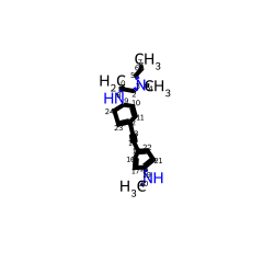 C=C(CN(C)CCC)NC1C=CC(C#Cc2ccc(NC)cc2)=CC1